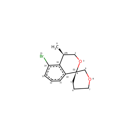 C[C@H]1CO[C@@]2(CCCOC2)c2cccc(Br)c21